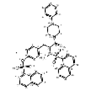 CN(C(Cc1ccc(OS(=O)(=O)c2nccc3ccccc23)cc1)C(=O)N1CCN(c2ncccn2)CC1)S(=O)(=O)c1nccc2ccccc12